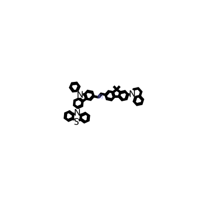 CC1(C)c2cc(/C=C/c3ccc4c(c3)c3c(n4-c4ccccc4)CCC(N4c5ccccc5Sc5ccccc54)=C3)ccc2-c2ccc(N3CCCc4ccccc43)cc21